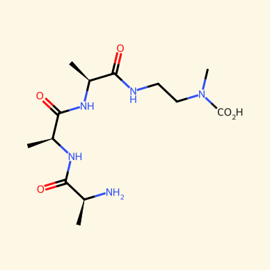 C[C@H](N)C(=O)N[C@@H](C)C(=O)N[C@@H](C)C(=O)NCCN(C)C(=O)O